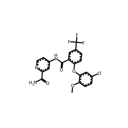 COc1ccc(Cl)cc1Oc1ccc(C(F)(F)F)cc1C(=O)Nc1ccnc(C(N)=O)c1